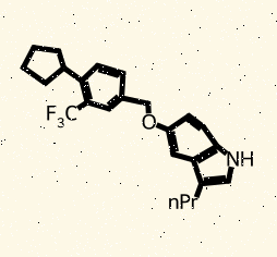 CCCc1c[nH]c2ccc(OCc3ccc(C4CCCC4)c(C(F)(F)F)c3)cc12